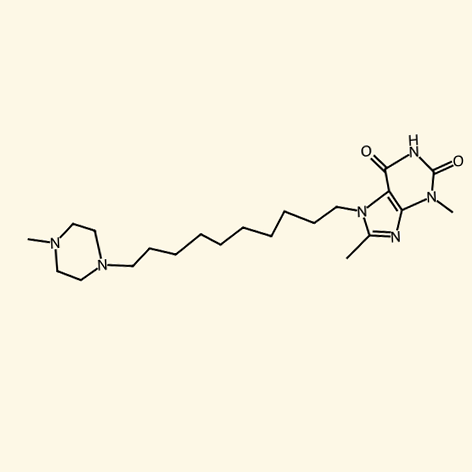 Cc1nc2c(c(=O)[nH]c(=O)n2C)n1CCCCCCCCCCN1CCN(C)CC1